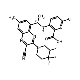 Cc1cc([C@@H](C)Nc2ccc(Cl)nc2C(=O)O)c2nc(N3CCC(F)(F)C(F)C3)c(C#N)nc2c1